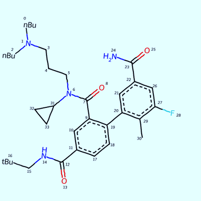 CCCCN(CCCC)CCCN(C(=O)c1cc(C(=O)NCC(C)(C)C)ccc1-c1cc(C(N)=O)cc(F)c1C)C1CC1